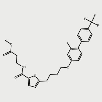 COC(=O)CCNC(=O)c1ccc(CCCCOc2ccc(-c3ccc(C(F)(F)F)cc3)c(C)c2)s1